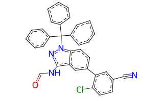 N#Cc1ccc(Cl)c(-c2ccc3c(c2)c(NC=O)nn3C(c2ccccc2)(c2ccccc2)c2ccccc2)c1